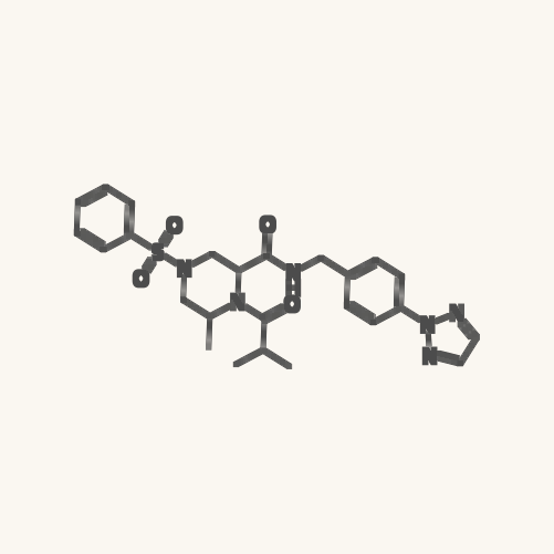 CC(C)C(=O)N1C(C)CN(S(=O)(=O)c2ccccc2)CC1C(=O)NCc1ccc(-n2nccn2)cc1